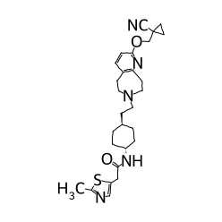 Cc1ncc(CC(=O)N[C@H]2CC[C@H](CCN3CCc4ccc(OCC5(C#N)CC5)nc4CC3)CC2)s1